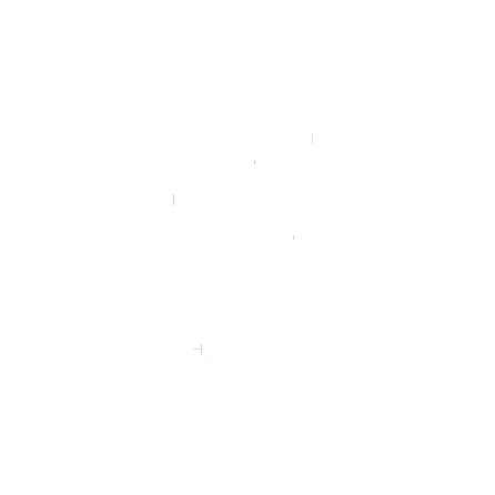 C=CCC(F)C(=O)OC